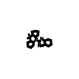 CC1(C)c2ccccc2N(c2ncc3ccccc3n2)c2ccccc21